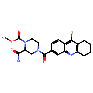 CCCOC(=O)N1CCN(C(=O)c2ccc3c(Cl)c4c(nc3c2)CCCC4)CC1C(N)=O